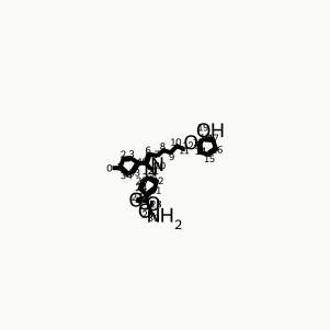 Cc1ccc(-c2cc(CCCCOc3ccccc3O)nn2-c2ccc(S(=O)(=O)ON)cc2)cc1